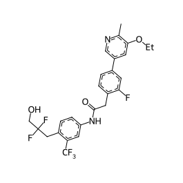 CCOc1cc(-c2ccc(CC(=O)Nc3ccc(CC(F)(F)CO)c(C(F)(F)F)c3)c(F)c2)cnc1C